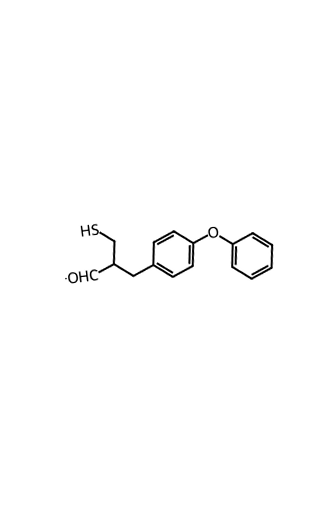 O=[C]C(CS)Cc1ccc(Oc2ccccc2)cc1